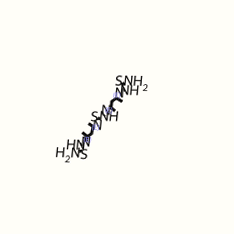 C/C(C/C(C)=N/NC(=S)/N=C(\C)C/C(C)=N/NC(N)=S)=N\NC(N)=S